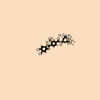 COc1cc(C(=O)NC2CC(C)(C)NC(C)(C)C2)ccc1-c1nc2cc(Cl)c(Cl)cc2[nH]1